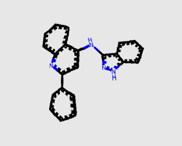 c1ccc(-c2cc(Nc3n[nH]c4ccccc34)c3ccccc3n2)cc1